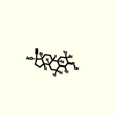 [2H]C1=C2C([2H])([2H])C[C@H]3[C@@H]4CC[C@](C#C)(OC(C)=O)[C@@]4(CC)CC[C@@H]3[C@@]2([2H])CC([2H])([2H])C1=NO